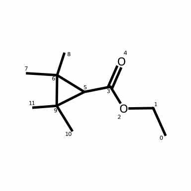 CCOC(=O)C1C(C)(C)C1(C)C